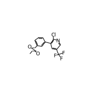 CS(=O)(=O)c1cccc(-c2cc(C(F)(F)F)cnc2Cl)c1